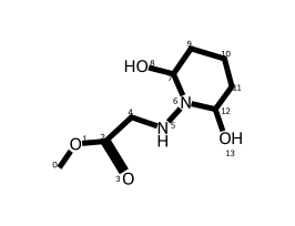 COC(=O)CNN1C(O)CCCC1O